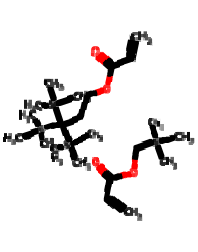 C=CC(=O)OCCC([Si](C)(C)C)([Si](C)(C)C)[Si](C)(C)C.C=CC(=O)OC[Si](C)(C)C